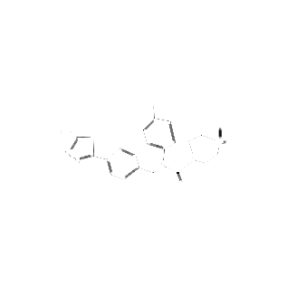 O=C(N1CCS(=O)(=O)CC1)N(Cc1ccc(-c2nnc(C(F)(F)F)o2)cc1)c1ccc(C(F)(F)F)cc1